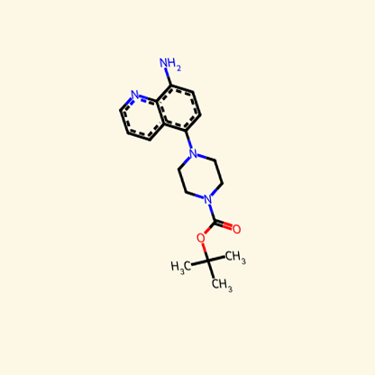 CC(C)(C)OC(=O)N1CCN(c2ccc(N)c3ncccc23)CC1